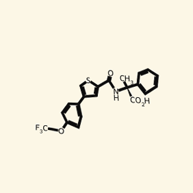 C[C@](NC(=O)c1cc(-c2ccc(OC(F)(F)F)cc2)cs1)(C(=O)O)c1ccccc1